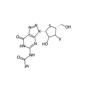 CC(C)C(=O)Nc1nc2c(nnn2[C@@H]2S[C@H](CO)C(F)C2O)c(=O)[nH]1